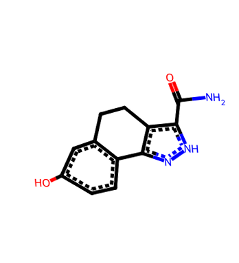 NC(=O)c1[nH]nc2c1CCc1cc(O)ccc1-2